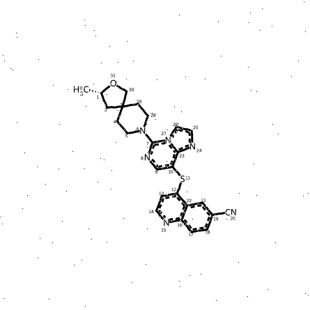 C[C@H]1CC2(CCN(c3ncc(Sc4ccnc5ccc(C#N)cc45)c4nccn34)CC2)CO1